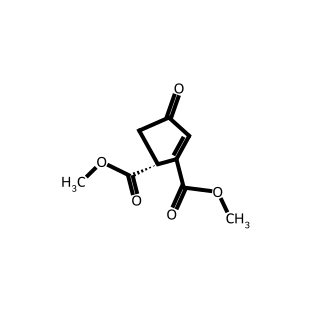 COC(=O)C1=CC(=O)C[C@H]1C(=O)OC